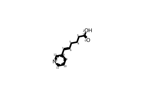 O=C(O)CCCC=Cc1cccnc1